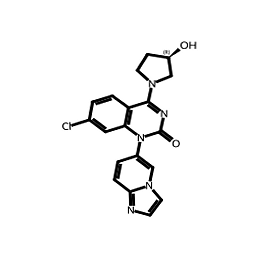 O=c1nc(N2CC[C@@H](O)C2)c2ccc(Cl)cc2n1-c1ccc2nccn2c1